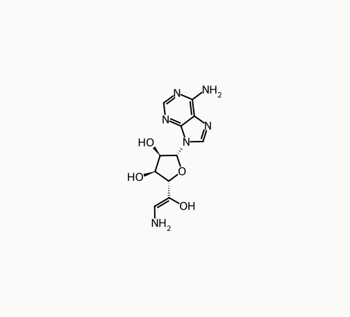 NC=C(O)[C@H]1O[C@@H](n2cnc3c(N)ncnc32)[C@H](O)[C@@H]1O